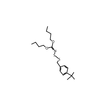 CCCCOC(=NSSCc1ccc(C(C)(C)C)cc1)OCCCC